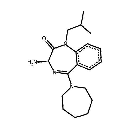 CC(C)CN1C(=O)[C@H](N)N=C(N2CCCCCC2)c2ccccc21